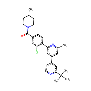 Cc1cc(-c2ccnc(C(C)(C)C)c2)cc(-c2ccc(C(=O)N3CCC(C)CC3)cc2Cl)n1